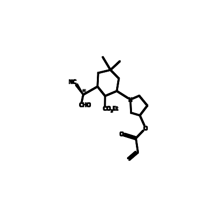 C=CC(=O)OC1CCN(C2CC(C)(C)CC([C@H](C#N)C=O)C2C(=O)OCC)C1